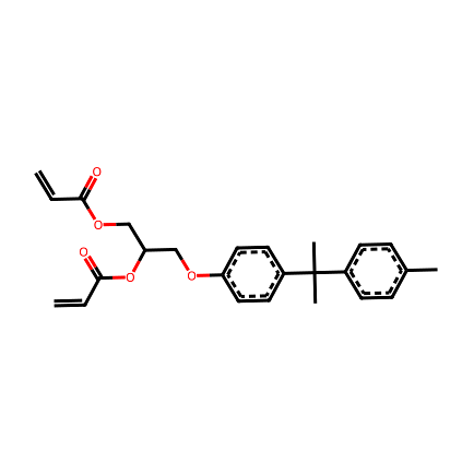 C=CC(=O)OCC(COc1ccc(C(C)(C)c2ccc(C)cc2)cc1)OC(=O)C=C